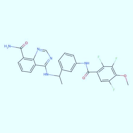 COc1c(F)cc(C(=O)Nc2cccc(C(C)Nc3ncnc4c(C(N)=O)cccc34)c2)c(F)c1F